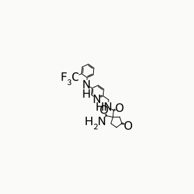 NC(=O)C1(C(=O)NCc2ccc(Nc3ccccc3C(F)(F)F)cn2)CCC(=O)C1